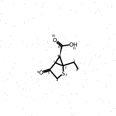 CCC12SCC(=O)C1[C@H]2C(=O)O